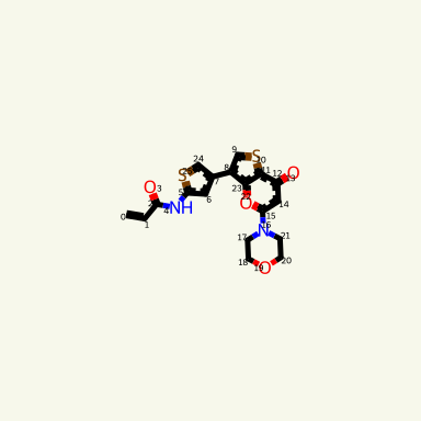 C=CC(=O)Nc1cc(-c2csc3c(=O)cc(N4CCOCC4)oc23)cs1